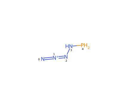 [N-]=[N+]=NNP